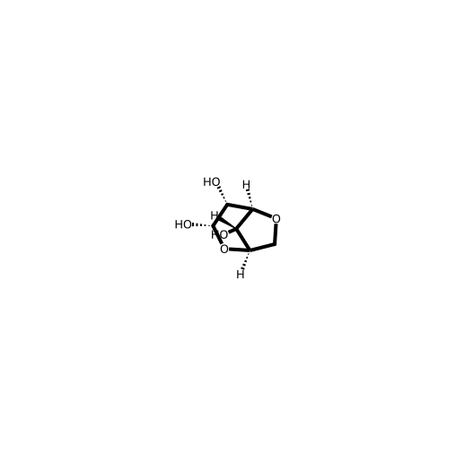 O[C@@H]1[C@H]2OC[C@@H](O[C@@H]1O)[C@@H]2O